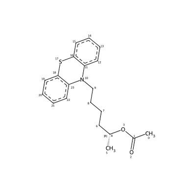 CC(=O)O[C@H](C)CCCCN1c2ccccc2Sc2ccccc21